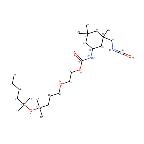 CCCC[Si](C)(C)O[Si](C)(C)CCCOCCOC(=O)NC1CC(C)(C)CC(C)(CN=C=O)C1